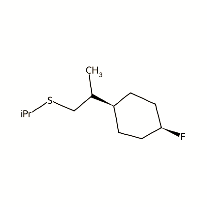 CC(C)SCC(C)[C@H]1CC[C@@H](F)CC1